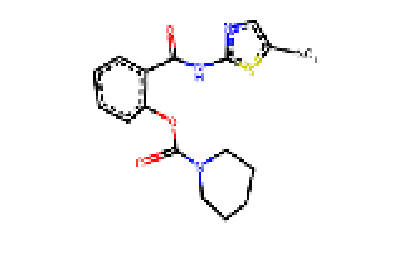 O=C(Nc1ncc([N+](=O)[O-])s1)c1ccccc1OC(=O)N1CCCCC1